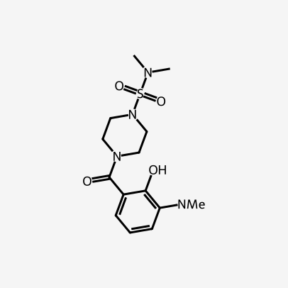 CNc1cccc(C(=O)N2CCN(S(=O)(=O)N(C)C)CC2)c1O